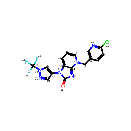 O=c1nc2n(Cc3ccc(Cl)nc3)cccc-2n1-c1cnn(C(F)(F)F)c1